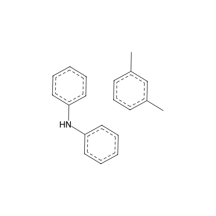 Cc1cccc(C)c1.c1ccc(Nc2ccccc2)cc1